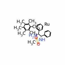 CS(=O)(=O)N[C@@H](c1ccccc1)[C@@H](N)c1ccccc1.Cc1c(C)c(C)c(C)c(C)c1C.[Ru]